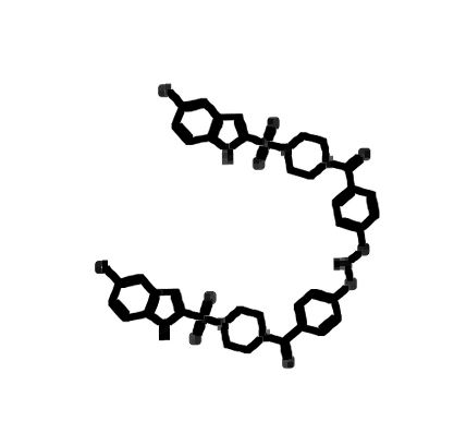 O=C(c1ccc(OBOc2ccc(C(=O)N3CCN(S(=O)(=O)c4cc5cc(Cl)ccc5[nH]4)CC3)cc2)cc1)N1CCN(S(=O)(=O)c2cc3cc(Cl)ccc3[nH]2)CC1